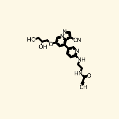 C#CC(=O)NCCNc1ccc(-c2cc(OC[C@H](O)CO)cn3ncc(C#N)c23)cn1